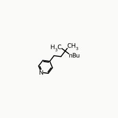 CCCCC(C)(C)CCc1ccncc1